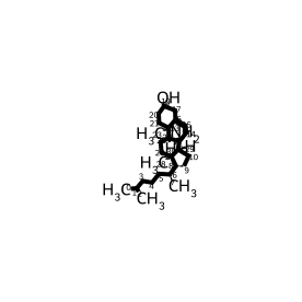 CC(C)CCC[C@@H](C)[C@H]1CC[C@H]2C3(N)CC=C4CC(O)CC[C@]4(C)[C@H]3CC[C@]12C